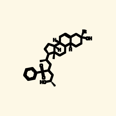 CC[C@]1(O)CC[C@H]2C(=CC[C@@H]3C2CC[C@]2(C)[C@@H]([C@H](C)CC(C[C@H](C)O)S(=O)(=O)c4ccccc4)CC[C@@H]32)C1